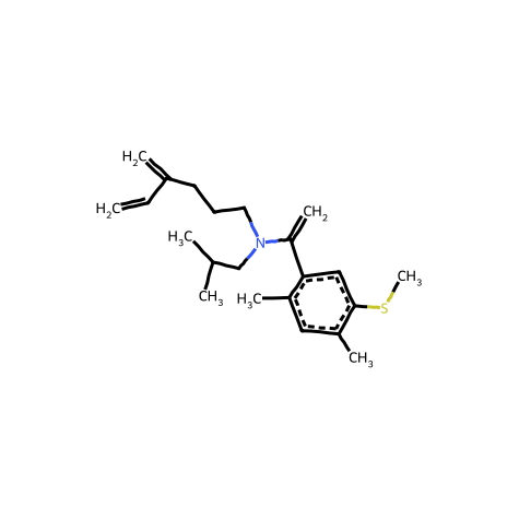 C=CC(=C)CCCN(CC(C)C)C(=C)c1cc(SC)c(C)cc1C